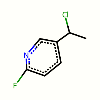 CC(Cl)c1ccc(F)nc1